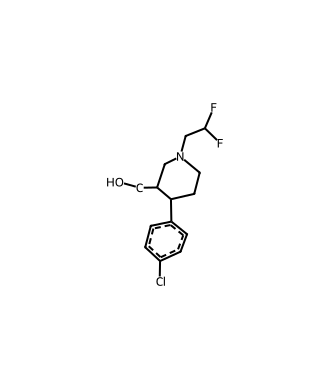 OCC1CN(CC(F)F)CCC1c1ccc(Cl)cc1